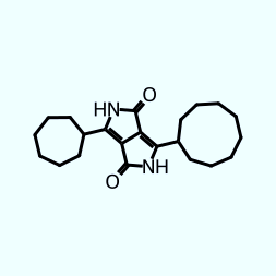 O=C1NC(C2CCCCCC2)=C2C(=O)NC(C3CCCCCCCC3)=C12